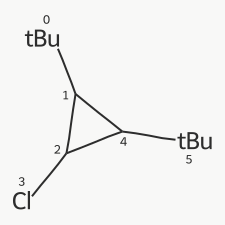 CC(C)(C)C1C(Cl)C1C(C)(C)C